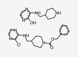 O=C(OCc1ccccc1)N1CCC(CNc2nccnc2Cl)CC1.Oc1nccnc1NCC1CCNCC1